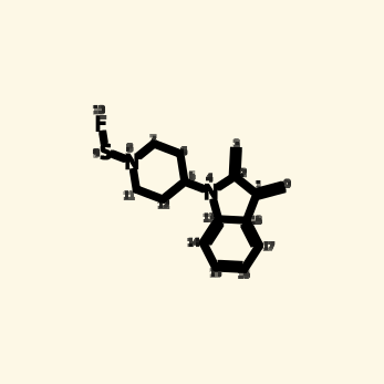 C=c1c(=C)n(C2CCN(SF)CC2)c2ccccc12